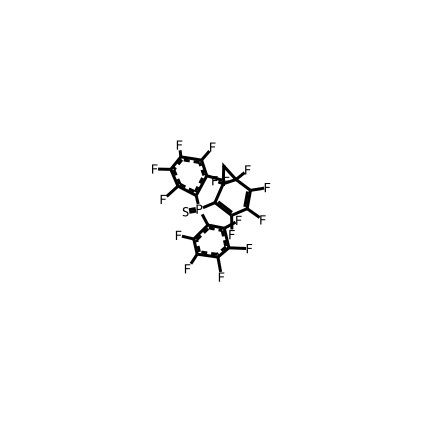 FC1=C(F)C2(F)CC2(F)C(P(=S)(c2c(F)c(F)c(F)c(F)c2F)c2c(F)c(F)c(F)c(F)c2F)=C1F